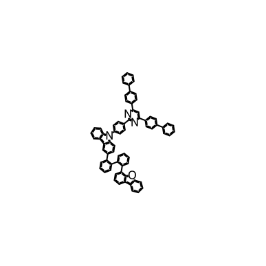 c1ccc(-c2ccc(-c3cc(-c4ccc(-c5ccccc5)cc4)nc(-c4ccc(-n5c6ccccc6c6cc(-c7ccccc7-c7ccccc7-c7cccc8c7oc7ccccc78)ccc65)cc4)n3)cc2)cc1